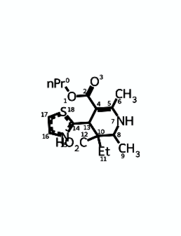 CCCOC(=O)C1=C(C)NC(C)C(CC)(C(=O)O)C1c1nccs1